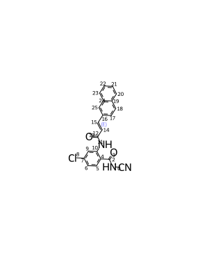 N#CNC(=O)c1ccc(Cl)cc1NC(=O)/C=C/c1ccc2ccccc2c1